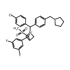 CS(=O)(=O)C1(c2cc(F)cc(F)c2)C2C[N+]1(C(c1ccc(Cl)cc1)c1ccc(CN3CCCC3)cc1)C2